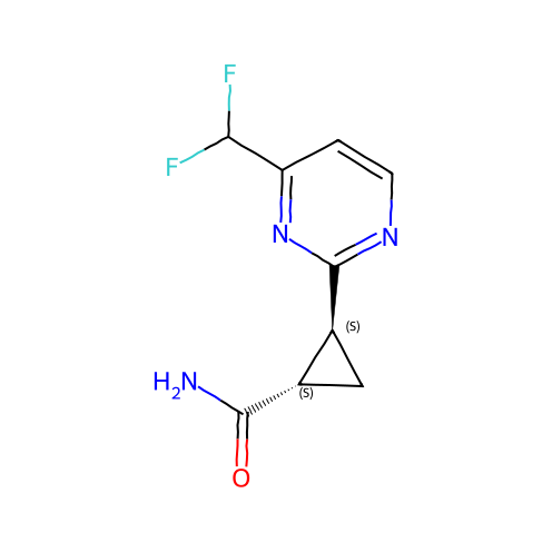 NC(=O)[C@H]1C[C@@H]1c1nccc(C(F)F)n1